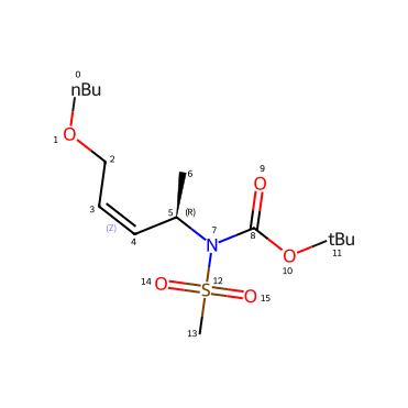 CCCCOC/C=C\[C@@H](C)N(C(=O)OC(C)(C)C)S(C)(=O)=O